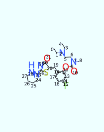 CCN(CC)CCN(C)C(=O)Oc1cc(F)ccc1/C=C1\SC(N2CCCCN2)=NC1=O